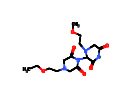 CCOCCN1CC(=O)N(C2C(=O)[N]C(=O)CN2CCOC)C(=O)C1